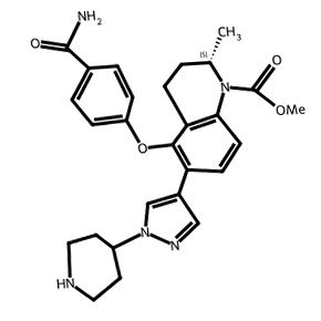 COC(=O)N1c2ccc(-c3cnn(C4CCNCC4)c3)c(Oc3ccc(C(N)=O)cc3)c2CC[C@@H]1C